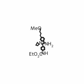 CCOC(=O)Nc1ccc(-c2c(N)c3ccc(CCCCOC)cc3n2C2CCC2)cc1